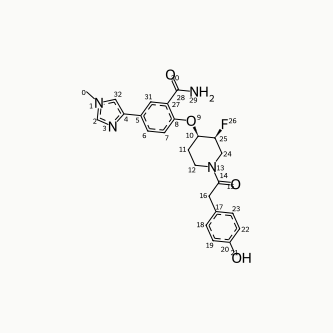 Cn1cnc(-c2ccc(O[C@@H]3CCN(C(=O)Cc4ccc(O)cc4)C[C@@H]3F)c(C(N)=O)c2)c1